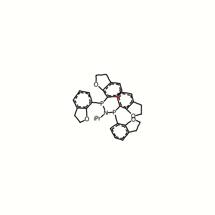 CC(C)N(P(c1cccc2c1OCC2)c1cccc2c1OCC2)P(c1cccc2c1OCC2)c1cccc2c1OCC2